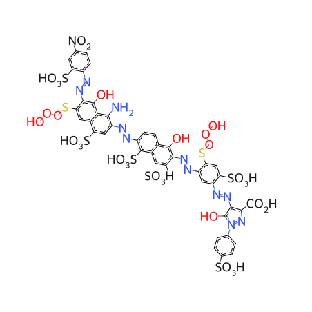 Nc1c(N=Nc2ccc3c(O)c(N=Nc4cc(/N=N/c5c(C(=O)O)nn(-c6ccc(S(=O)(=O)O)cc6)c5O)c(S(=O)(=O)O)cc4SOOO)c(S(=O)(=O)O)cc3c2S(=O)(=O)O)cc(S(=O)(=O)O)c2cc(SOOO)c(N=Nc3ccc([N+](=O)[O-])cc3S(=O)(=O)O)c(O)c12